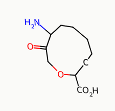 NC1CCCCCC(C(=O)O)OCC1=O